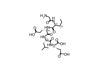 CC[C@H](C)[C@H](NC(=O)CN)C(=O)N[C@@H](CCC(=O)O)C(=O)N[C@@H](CC(C)C)C(=O)N[C@@H](CCC(=O)O)C(=O)O